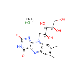 Cc1cc2nc3c(=O)[nH]c(=O)nc-3n(C[C@H](O)[C@H](O)[C@H](O)CO)c2cc1C.Cl.[CaH2]